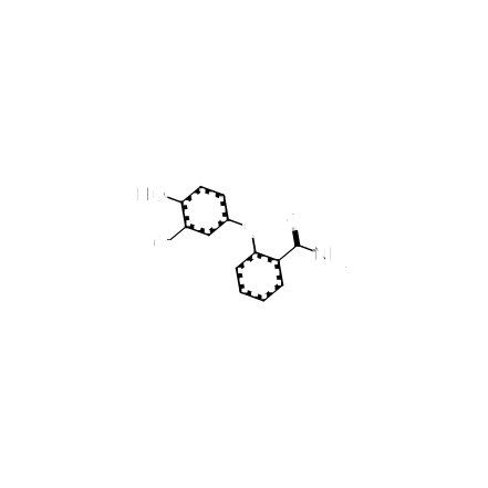 NC(=O)c1ccccc1Oc1ccc(O)c(Cl)c1